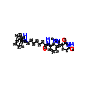 Cn1nc(C2CCC(=O)NC2=O)c2cccc(NC(=O)CCCCCCNC34CC5CC(CC(C5)C3)C4)c21